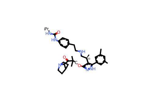 Cc1cc(C)cc(-c2[nH]nc(OCC(C)(C)C(=O)C3C4CCN3CC4)c2[C@H](C)CNCCc2ccc(NC(=O)NC(C)C)cc2)c1